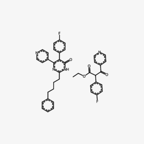 CCOC(=O)C(C(=O)c1ccncc1)c1ccc(F)cc1.O=c1[nH]c(CCCCc2ccccc2)nc(-c2ccncc2)c1-c1ccc(F)cc1